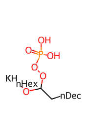 CCCCCCCCCCCC(OCCCCCC)OOP(=O)(O)O.[KH]